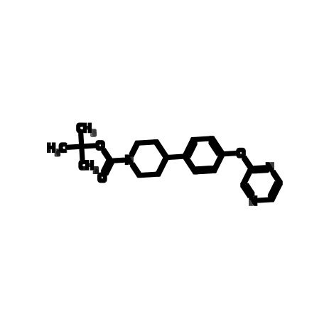 CC(C)(C)OC(=O)N1CCC(c2ccc(Oc3cnccn3)cc2)CC1